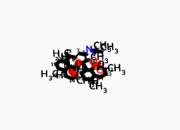 CCC(C)(C)/N=C(/C[C@H]1O[C@@H]2O[C@]3(C)CC[C@H]4[C@H](C)CC[C@@H]([C@H]1C)[C@@]24OO3)[C@H]1O[C@@H]2O[C@]3(C)CC[C@H]4[C@H](C)CC[C@@H]([C@H]1C)[C@@]24OO3